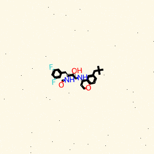 CC(C)(C)Cc1ccc2c(c1)[C@@H](NC[C@@H](O)[C@H](Cc1cc(F)cc(F)c1)NC=O)CCO2